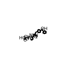 Nc1c(-c2cc(Cc3ccc(C(O)c4ccccc4)cc3)no2)ccc[n+]1COP(=O)(O)O